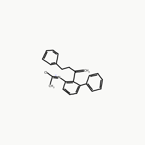 C=C(CCc1ccccc1)c1c(/N=C(\C)Cl)cccc1-c1ccccc1